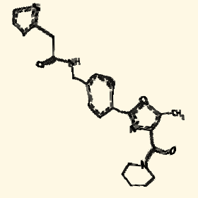 Cc1oc(-c2ccc(CNC(=O)Cc3cccs3)cc2)nc1C(=O)N1CCCCC1